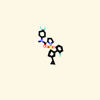 CN(C(=O)[C@@H]1CCCN1S(=O)(=O)c1ccc(C2CC2)cc1-c1ccccc1F)C1CCC(F)(F)CC1